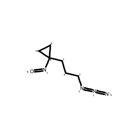 [N-]=[N+]=NCCCC1(N=O)CC1